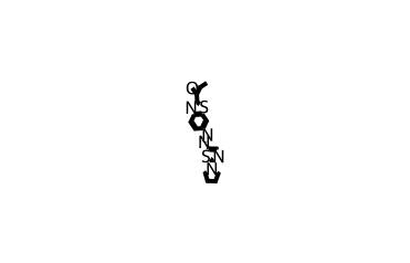 CC1OC1c1nc2ccc(/N=N/c3cnc(N4CCCC4)s3)cc2s1